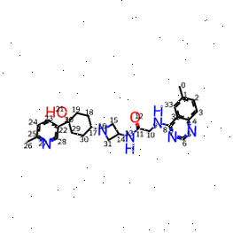 Cc1ccc2ncnc(NCC(=O)NC3CN([C@H]4CC[C@@](O)(c5ccc(C)nc5)CC4)C3)c2c1